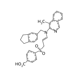 Cc1c(N(C=CCS(=O)(=O)c2ccc(C(=O)O)cc2)Cc2ccc3c(c2)CCC3)ncc2ccccc12